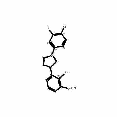 O=C(O)c1cccc(C2CCN(c3ccc(Cl)c(F)c3)C2)c1F